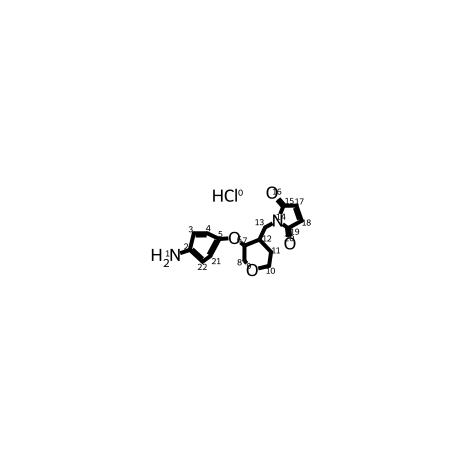 Cl.Nc1ccc(OC2COCCC2CN2C(=O)C=CC2=O)cc1